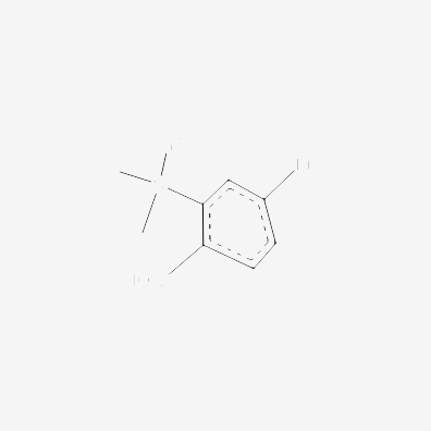 CCCCCCCC[Si](C)(C)c1cc(CC)ccc1S(=O)(=O)O